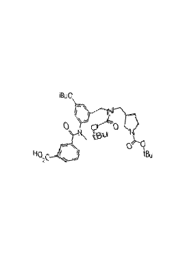 CC(C)COc1cc(CN(CC2CCN(C(=O)OC(C)(C)C)C2)C(=O)OC(C)(C)C)cc(N(C)C(=O)c2cccc(C(=O)O)c2)c1